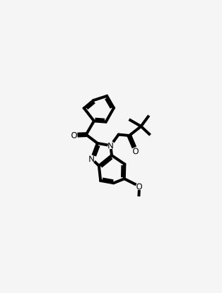 COc1ccc2nc(C(=O)c3ccccc3)n(CC(=O)C(C)(C)C)c2c1